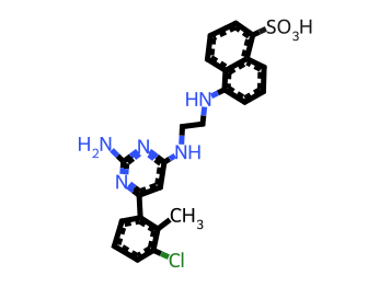 Cc1c(Cl)cccc1-c1cc(NCCNc2cccc3c(S(=O)(=O)O)cccc23)nc(N)n1